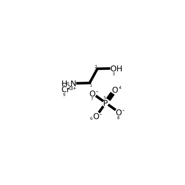 NCCO.O=P([O-])([O-])[O-].[Cr+3]